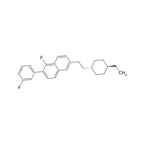 CC[C@H]1CC[C@H](CCc2ccc3c(F)c(-c4cccc(F)c4)ccc3c2)CC1